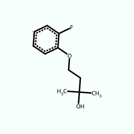 CC(C)(O)CCOc1cc[c]cc1F